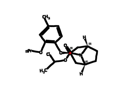 CCCOc1cc(C)ccc1O[C@H]1C[C@H]2CC[C@@H](C1)N2C(=O)OC(C)Cl